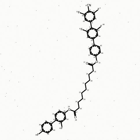 N#Cc1c(F)cc(-c2c(F)cc(-c3ccc(OC(=O)CCCCCCCCCC(=O)Oc4ccc(-c5ccc(F)cc5)c(F)c4)cc3)cc2F)cc1F